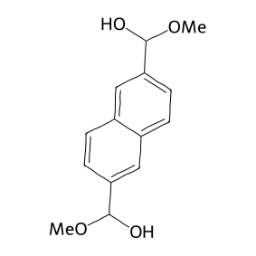 COC(O)c1ccc2cc(C(O)OC)ccc2c1